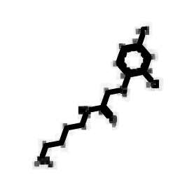 NCCCCNC(=O)COc1ccc(Cl)cc1Cl